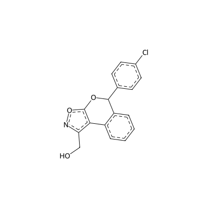 OCc1noc2c1-c1ccccc1C(c1ccc(Cl)cc1)O2